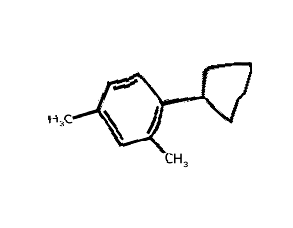 Cc1ccc(C2CCCC2)c(C)c1